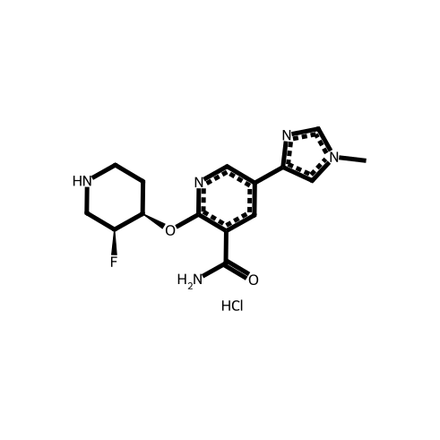 Cl.Cn1cnc(-c2cnc(O[C@@H]3CCNC[C@@H]3F)c(C(N)=O)c2)c1